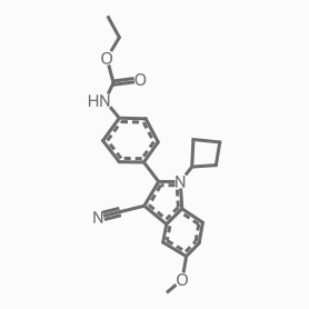 CCOC(=O)Nc1ccc(-c2c(C#N)c3cc(OC)ccc3n2C2CCC2)cc1